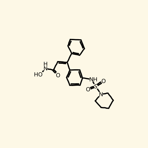 O=C(/C=C(/c1ccccc1)c1cccc(NS(=O)(=O)N2CCCCC2)c1)NO